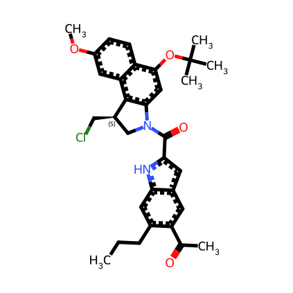 CCCc1cc2[nH]c(C(=O)N3C[C@@H](CCl)c4c3cc(OC(C)(C)C)c3ccc(OC)cc43)cc2cc1C(C)=O